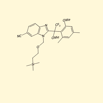 COc1cc(C)cc(C)c1C(OC)(c1nc2ccc(C#N)cc2n1COCC[Si](C)(C)C)C(F)(F)F